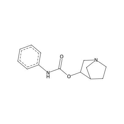 O=C(Nc1ccccc1)OC1CN2CCC1C2